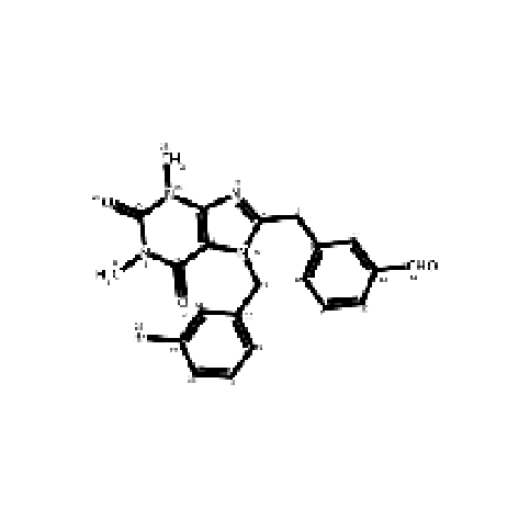 Cn1c(=O)c2c(nc(Cc3cccc(C=O)c3)n2Cc2cccc(Br)c2)n(C)c1=O